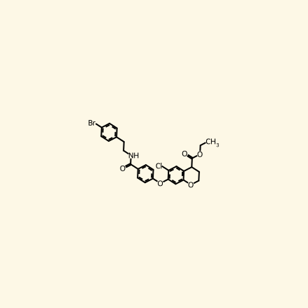 CCOC(=O)C1CCOc2cc(Oc3ccc(C(=O)NCCc4ccc(Br)cc4)cc3)c(Cl)cc21